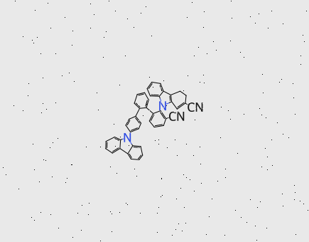 N#CC1=Cc2c(c3ccccc3n2-c2c(C#N)cccc2-c2ccccc2-c2ccc(-n3c4ccccc4c4ccccc43)cc2)CC1